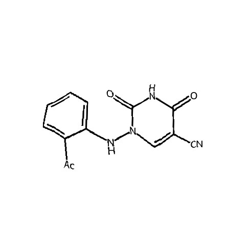 CC(=O)c1ccccc1Nn1cc(C#N)c(=O)[nH]c1=O